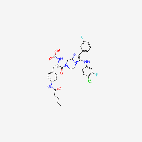 CCCCC(=O)Nc1ccc(C[C@H](NC(=O)O)C(=O)N2CCn3c(nc(-c4cccc(F)c4)c3Nc3ccc(Cl)c(F)c3)C2)cc1